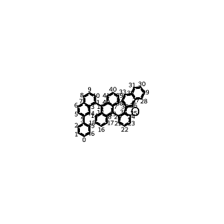 c1ccc(-c2ccc3cccc(-c4c5ccccc5c(-c5cccc6oc7c8ccccc8ccc7c56)c5ccccc45)c3c2)cc1